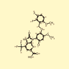 COc1cc(Cl)c(-n2c(=O)[nH]c3c(C(F)(F)F)cc(C(=O)O)nc32)cc1OCc1c(OC)ccc(F)c1F